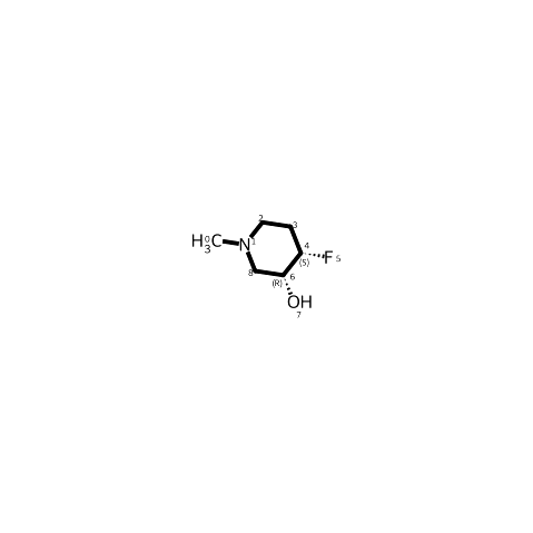 CN1CC[C@H](F)[C@H](O)C1